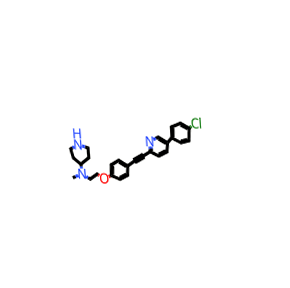 CN(CCOc1ccc(C#Cc2ccc(-c3ccc(Cl)cc3)cn2)cc1)C1CCNCC1